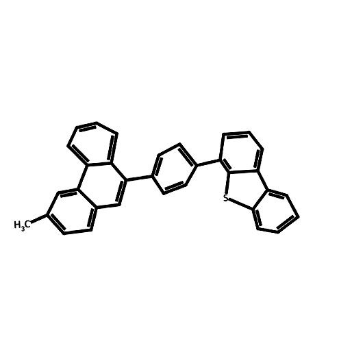 Cc1ccc2cc(-c3ccc(-c4cccc5c4sc4ccccc45)cc3)c3ccccc3c2c1